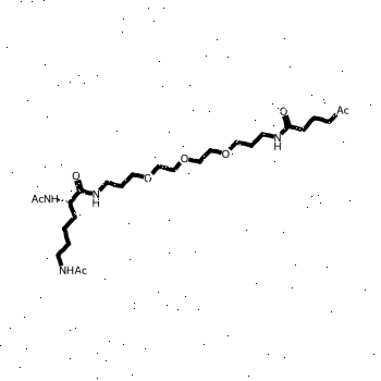 CC(=O)CCCC(=O)NCCCOCCOCCOCCCNC(=O)[C@H](CCCCNC(C)=O)NC(C)=O